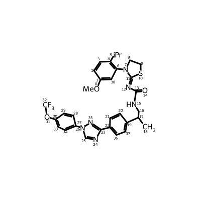 COc1ccc(C(C)C)c(N2CCS/C2=N\C(=O)NCC(C)c2ccc(-c3ncn(-c4ccc(OC(F)(F)F)cc4)n3)cc2)c1